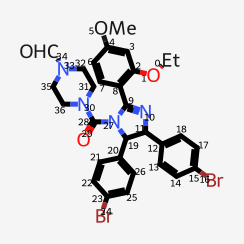 CCOc1cc(OC)ccc1C1=NC(c2ccc(Br)cc2)C(c2ccc(Br)cc2)N1C(=O)N1CCN(C=O)CC1